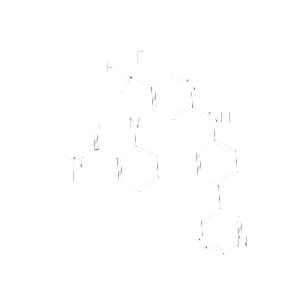 CNC(=O)c1ccccc1Nc1cc(Nc2ccc(-c3cncnc3)cc2)ncc1C(F)(F)F